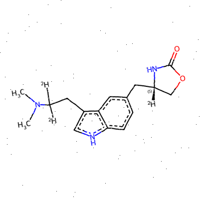 [2H]C([2H])(Cc1c[nH]c2ccc(C[C@@]3([2H])COC(=O)N3)cc12)N(C)C